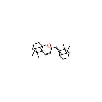 CC12CCC(CC1)C(C)(C)C2/C=C\C(=O)/C=C1\C2CCC(CC2)C1(C)C